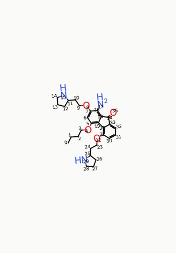 CCCCOc1cc(OCCC2CCCN2)c(N)c2c1-c1c(OCCC3CCCN3)cccc1C2=O